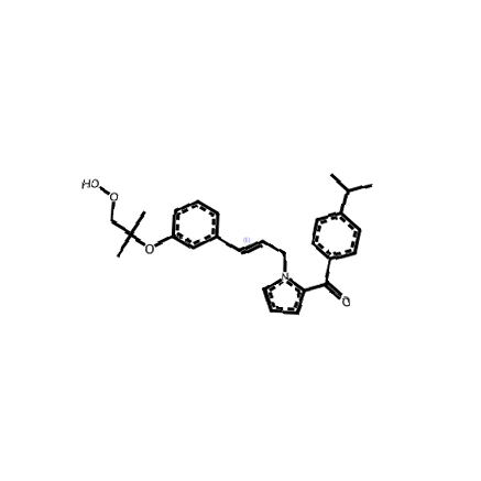 CC(C)c1ccc(C(=O)c2cccn2C/C=C/c2cccc(OC(C)(C)COO)c2)cc1